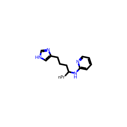 [CH2]CCC(CCCc1c[nH]cn1)Nc1ccccn1